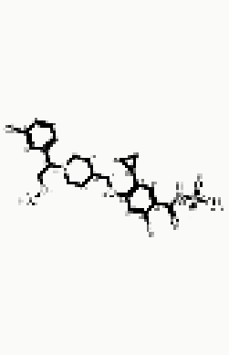 COCC(c1cccc(Cl)c1)N1CCC(COc2cc(F)c(C(=O)NS(C)(=O)=O)cc2C2CC2)CC1